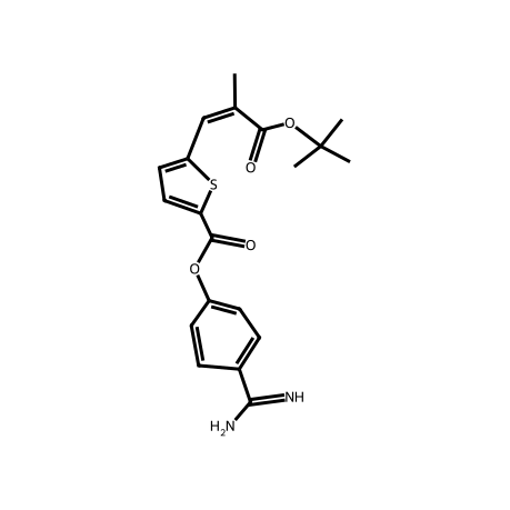 CC(=Cc1ccc(C(=O)Oc2ccc(C(=N)N)cc2)s1)C(=O)OC(C)(C)C